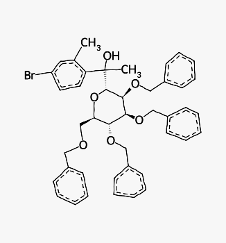 Cc1cc(Br)ccc1C(C)(O)[C@H]1O[C@H](COCc2ccccc2)[C@@H](OCc2ccccc2)[C@H](OCc2ccccc2)[C@@H]1OCc1ccccc1